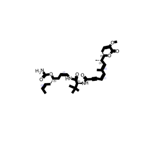 C/C=C\C[C@@H](C/C=C\NC(=O)[C@@H](NC(=O)C#C/C=C\C(C)=C\[C@H](C)[C@@H]1CC=C(OC)C(=O)O1)C(C)(C)C)OC(N)=O